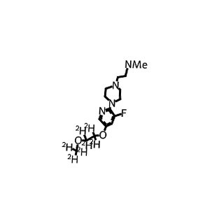 [2H]C([2H])([2H])OC([2H])([2H])C([2H])([2H])Oc1cnc(N2CCN(CCNC)CC2)c(F)c1